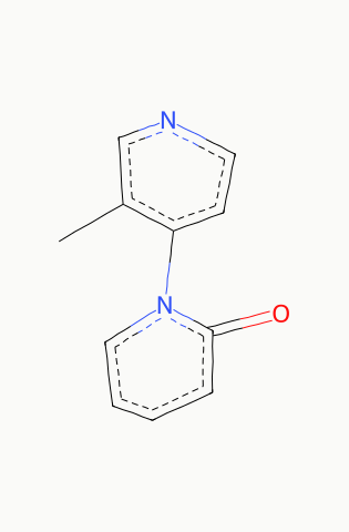 Cc1cnccc1-n1ccccc1=O